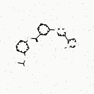 Cn1cncc1-c1cn(-c2cccc(C(=O)Nc3cccc(OC(F)F)c3)c2)nn1